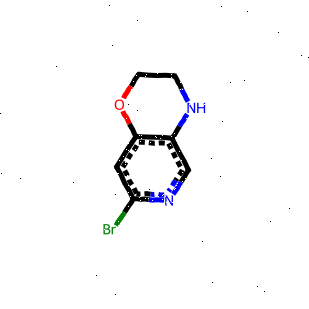 Brc1cc2c(cn1)NCCO2